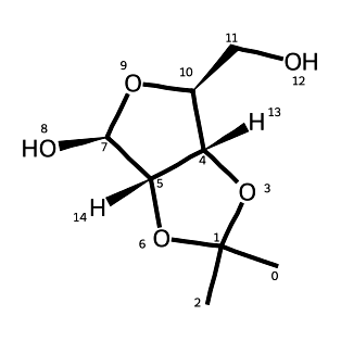 CC1(C)O[C@@H]2[C@H](O1)[C@@H](O)O[C@H]2CO